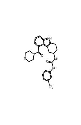 O=C(Nc1cccc(C(F)(F)F)c1)NC1CCc2[nH]c3cccc(C(=O)N4CCOCC4)c3c2C1